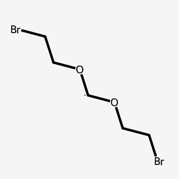 BrCCO[CH]OCCBr